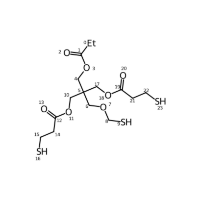 CCC(=O)OCC(COCS)(COC(=O)CCS)COC(=O)CCS